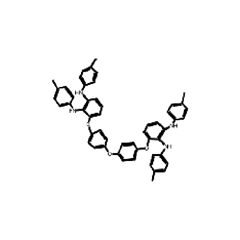 Cc1ccc(Nc2cccc(Oc3ccc(Oc4ccc(Oc5cccc(Nc6ccc(C)cc6)c5Nc5ccc(C)cc5)cc4)cc3)c2Nc2ccc(C)cc2)cc1